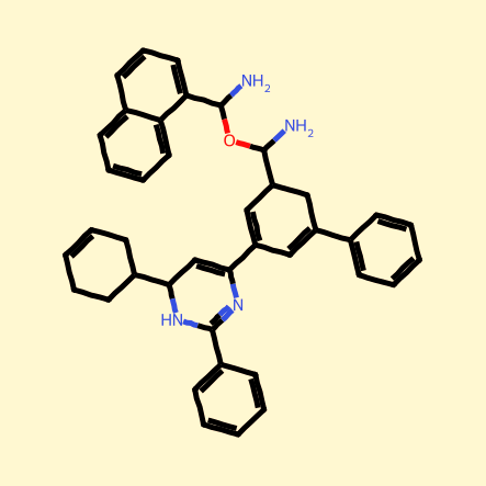 NC(OC(N)C1C=C(C2=CC(C3CC=CCC3)NC(c3ccccc3)=N2)C=C(c2ccccc2)C1)c1cccc2ccccc12